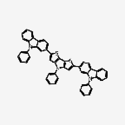 c1ccc(-n2c3ccccc3c3ccc(-c4cc5c(s4)c4sc(-c6ccc7c8ccccc8n(-c8ccccc8)c7c6)cc4n5-c4ccccc4)cc32)cc1